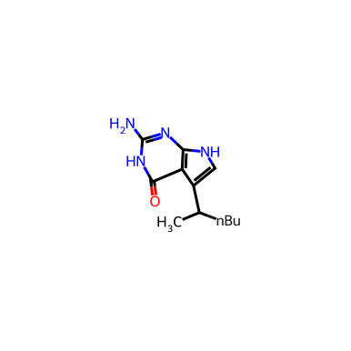 CCCCC(C)c1c[nH]c2nc(N)[nH]c(=O)c12